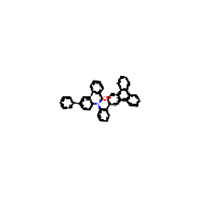 OC1c2ccccc2-c2cc(-c3ccccc3)ccc2N1c1ccccc1-c1ccc2c3ccccc3c3ccccc3c2c1